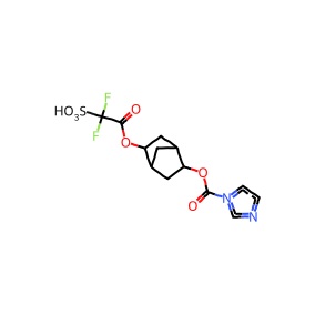 O=C(OC1CC2CC1CC2OC(=O)C(F)(F)S(=O)(=O)O)n1ccnc1